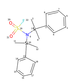 C[Si](C)(c1ccccc1)N([Si](C)(C)c1ccccc1)S(=O)(=O)F